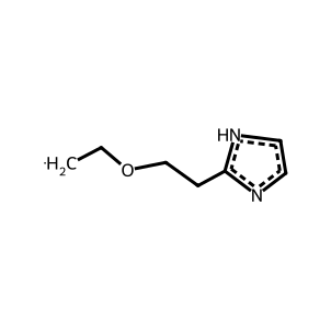 [CH2]COCCc1ncc[nH]1